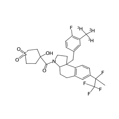 [2H]C([2H])([2H])c1cc(CC23CCN(C(=O)C4(O)CCS(=O)(=O)CC4)C2CCc2cc(C(C)(F)C(F)(F)F)ccc23)ccc1F